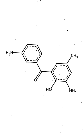 Cc1cc(N)c(O)c(C(=O)c2cccc(N)c2)c1